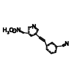 CON=Cc1cncc(C#Cc2cccc(C#N)c2)c1